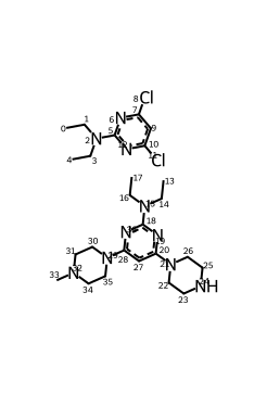 CCN(CC)c1nc(Cl)cc(Cl)n1.CCN(CC)c1nc(N2CCNCC2)cc(N2CCN(C)CC2)n1